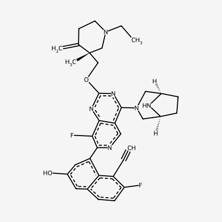 C#Cc1c(F)ccc2cc(O)cc(-c3ncc4c(N5C[C@H]6CC[C@@H](C5)N6)nc(OC[C@@]5(C)CN(CC)CCC5=C)nc4c3F)c12